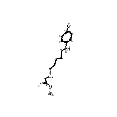 CC(C)(C)OC(=O)COCCCCCNc1ccc(Br)cc1